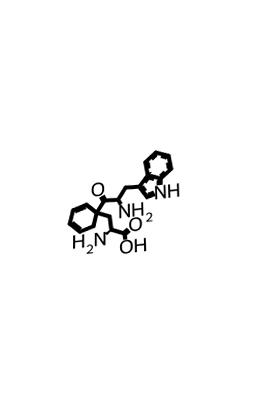 NC(Cc1c[nH]c2ccccc12)C(=O)C1(C[C@H](N)C(=O)O)C=CC=CC1